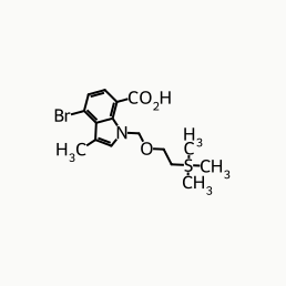 Cc1cn(COCCS(C)(C)C)c2c(C(=O)O)ccc(Br)c12